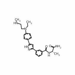 CCN(CCNC)c1ccc(-c2cc(-c3cccc(C(=O)N[C@@H](C)C(N)=O)c3)n[nH]2)cc1